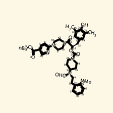 CCCCOC(=O)c1ccc(N2CCN(C(=O)[C@@H](Cc3cc(C)c(O)c(C)c3)OC(=O)N3CCC(N(C=O)CCc4ccccc4NC)CC3)CC2)nc1